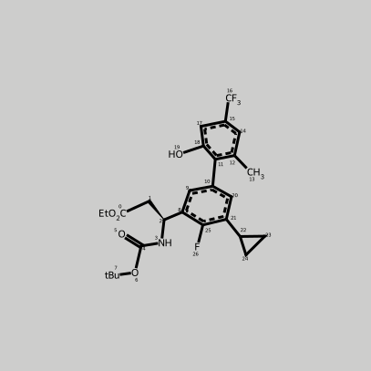 CCOC(=O)C[C@H](NC(=O)OC(C)(C)C)c1cc(-c2c(C)cc(C(F)(F)F)cc2O)cc(C2CC2)c1F